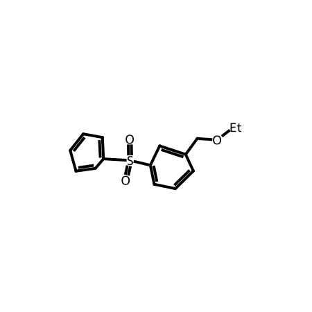 CCOCc1cccc(S(=O)(=O)c2ccccc2)c1